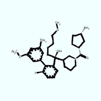 COCCCC[C@@](O)(c1cccc(F)c1-c1cc(C)cc(OC)c1)C1CCCN(C(=O)[C@@H]2CC[C@H](N)C2)C1